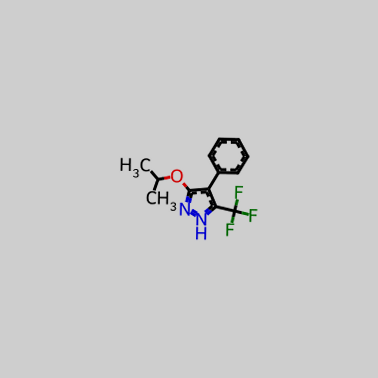 CC(C)Oc1n[nH]c(C(F)(F)F)c1-c1ccccc1